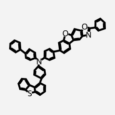 c1ccc(-c2ccc(N(c3ccc(-c4ccc5c(c4)oc4cc6oc(-c7ccccc7)nc6cc45)cc3)c3ccc(-c4cccc5sc6ccccc6c45)cc3)cc2)cc1